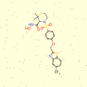 CC1(C)SCCN(S(=O)(=O)c2ccc(OCc3nc4cc(C(F)(F)F)ccc4s3)cc2)[C@H]1C(=O)NO